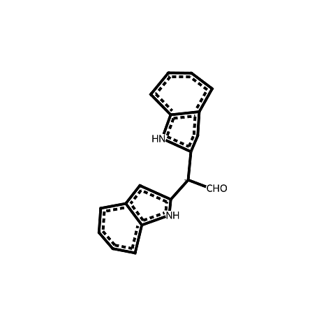 O=C[C](c1cc2ccccc2[nH]1)c1cc2ccccc2[nH]1